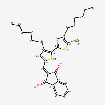 CCCCCCc1cc(-c2sc(C=C3C(=O)c4ccccc4C3=O)cc2CCCCCC)sc1Br